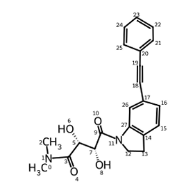 CN(C)C(=O)[C@H](O)[C@@H](O)C(=O)N1CCc2ccc(C#Cc3ccccc3)cc21